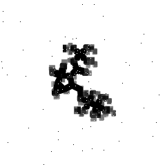 CC(C)(C)OC(=O)N1C(CO[Si](C)(C)C(C)(C)C)C2OC2S1(=O)=O